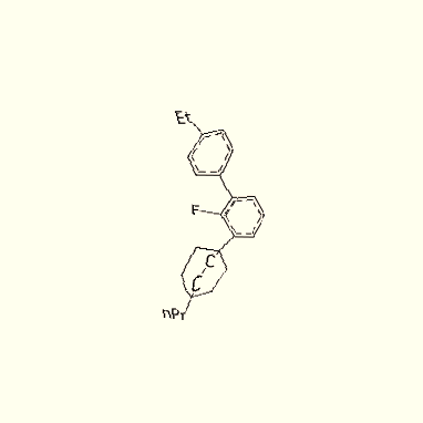 CCCC12CCC(c3cccc(-c4ccc(CC)cc4)c3F)(CC1)CC2